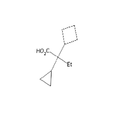 CCC(C(=O)O)(C1CCC1)C1CC1